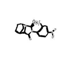 Cc1cc([N+](=O)[O-])ccc1N1C(=O)C2C3CCC(C3)N2C1=O